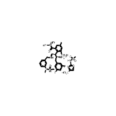 CCCN(CCC)C(=O)c1cc(C)cc(C(=O)O)c1[C@H](CNCc1cccc(N(C)S(C)(=O)=O)c1)[C@@H](N)Cc1cc(F)cc(F)c1.CS(=O)(=O)Nc1nc(C(=O)O)co1